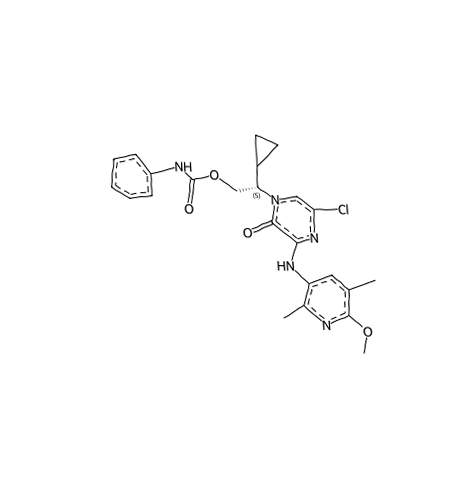 COc1nc(C)c(Nc2nc(Cl)cn([C@H](COC(=O)Nc3ccccc3)C3CC3)c2=O)cc1C